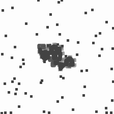 COc1ccc(CC(=O)O)cc1-c1ccc(F)c2c1CN(C(=O)[C@@H]1C[C@H]1c1ccccn1)CC2